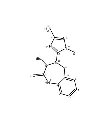 CCC(C)C1C(=O)Nc2ccccc2CN1c1nc(N)nn1C